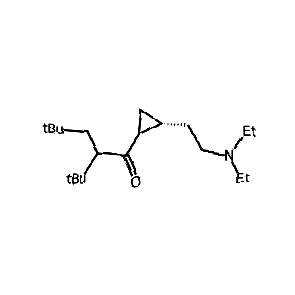 CCN(CC)CC[C@H]1CC1C(=O)C(CC(C)(C)C)C(C)(C)C